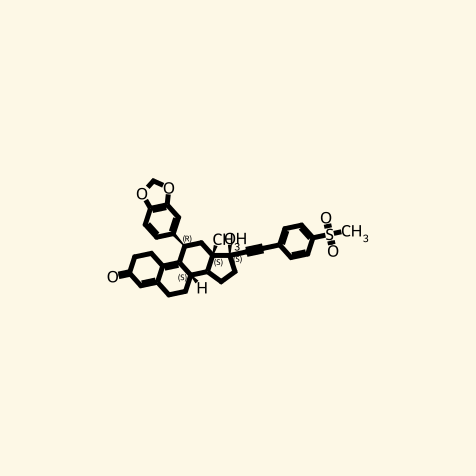 C[C@]12C[C@H](c3ccc4c(c3)OCO4)C3=C4CCC(=O)C=C4CC[C@H]3C1CC[C@@]2(O)C#Cc1ccc(S(C)(=O)=O)cc1